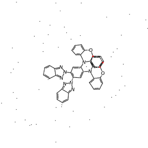 c1ccc2c(c1)Oc1ccccc1N2c1cc(-n2nc3ccccc3n2)c(-n2nc3ccccc3n2)cc1N1c2ccccc2Oc2ccccc21